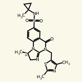 Cc1nc(C)c(CN2C(=O)c3cc(S(=O)(=O)NC4(C)CC4)ccc3N3C2=NC[C@H]3C)s1